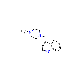 CN1CCN(Cc2ccnc3ccccc23)CC1